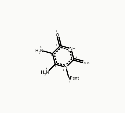 CCCCCn1c(N)c(N)c(=O)[nH]c1=S